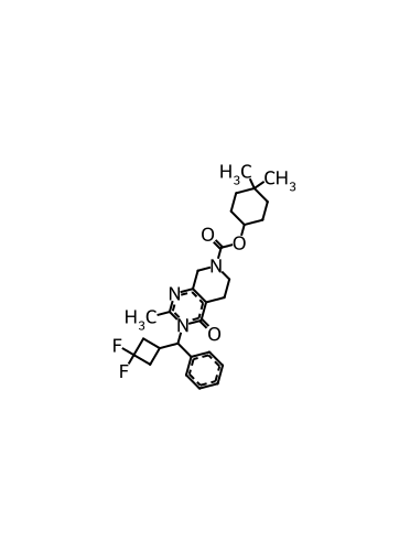 Cc1nc2c(c(=O)n1C(c1ccccc1)C1CC(F)(F)C1)CCN(C(=O)OC1CCC(C)(C)CC1)C2